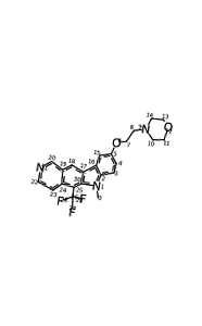 Cn1c2ccc(OCCN3CCOCC3)cc2c2cc3cnccc3c(C(F)(F)F)c21